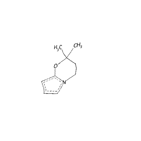 CC1(C)CCn2cccc2O1